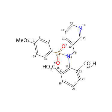 COc1ccc(S(=O)(=O)N(Cc2cccnc2)c2c(C(=O)O)cccc2C(=O)O)cc1